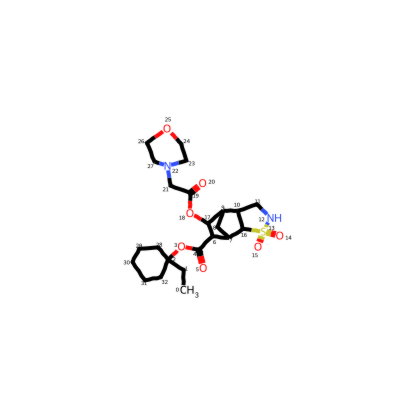 CCC1(OC(=O)C2C3CC(C4CNS(=O)(=O)C43)C2OC(=O)CN2CCOCC2)CCCCC1